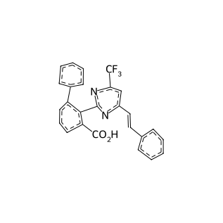 O=C(O)c1cccc(-c2ccccc2)c1-c1nc(C=Cc2ccccc2)cc(C(F)(F)F)n1